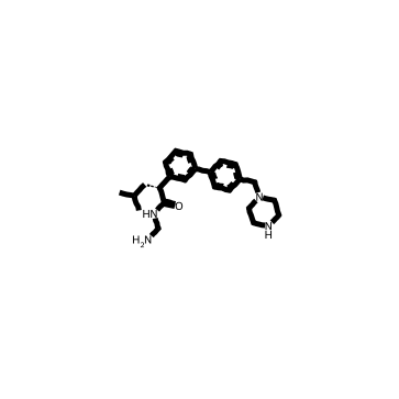 CC(C)C[C@@H](C(=O)NCN)c1cccc(-c2ccc(CN3CCNCC3)cc2)c1